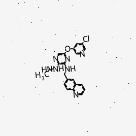 CNNc1ncc(Oc2cncc(Cl)c2)nc1NCc1ccc2ncccc2c1